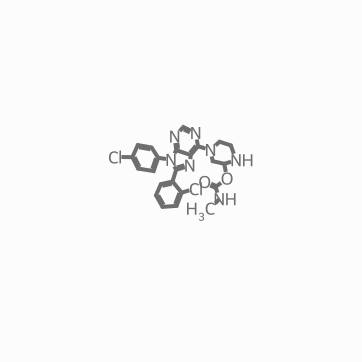 CNC(=O)OC1CN(c2ncnc3c2nc(-c2ccccc2Cl)n3-c2ccc(Cl)cc2)CCN1